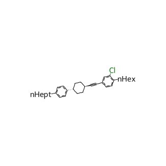 CCCCCCCc1ccc([C@H]2CC[C@H](C#Cc3ccc(CCCCCC)c(Cl)c3)CC2)cc1